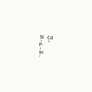 [Cd].[In].[P].[Si]